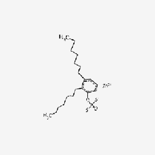 CCCCCCCc1cccc(OP(=O)([S-])[S-])c1CCCCCCC.[Zn+2]